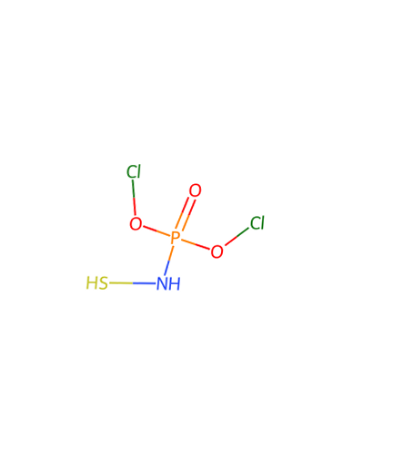 O=P(NS)(OCl)OCl